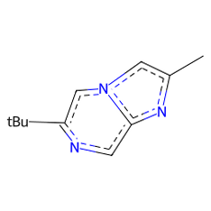 Cc1cn2cc(C(C)(C)C)ncc2n1